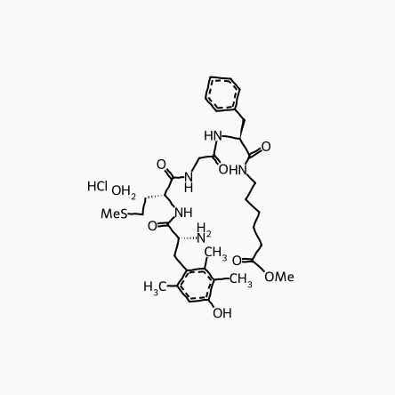 COC(=O)CCCCCNC(=O)[C@H](Cc1ccccc1)NC(=O)CNC(=O)[C@@H](CCSC)NC(=O)[C@H](N)Cc1c(C)cc(O)c(C)c1C.Cl.O